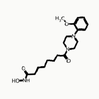 COc1ccccc1N1CCN(C(=O)CCCCCCC(=O)NO)CC1